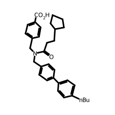 CCCCc1ccc(-c2ccc(CN(Cc3ccc(C(=O)O)cc3)C(=O)CCC3CCCC3)cc2)cc1